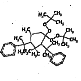 CC1CC(OOC(C)(C)C)(OOC(C)(C)C)C(C(C)(C)c2ccccc2)C(C)(C)C1C(C)(C)c1ccccc1